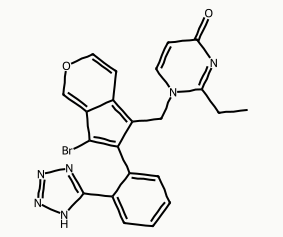 CCc1nc(=O)ccn1Cc1c2ccocc-2c(Br)c1-c1ccccc1-c1nnn[nH]1